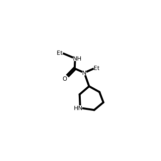 CCNC(=O)N(CC)C1CCCNC1